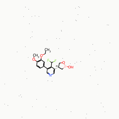 CCOc1cc(-c2cncc([C@@H]3COB(O)C3)c2C(F)F)ccc1OC